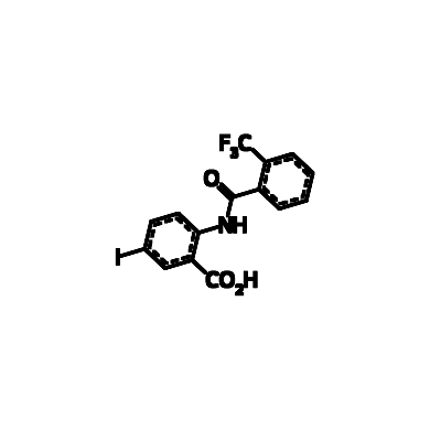 O=C(O)c1cc(I)ccc1NC(=O)c1ccccc1C(F)(F)F